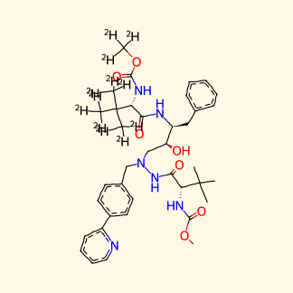 [2H]C([2H])([2H])OC(=O)N[C@H](C(=O)N[C@@H](Cc1ccccc1)[C@@H](O)CN(Cc1ccc(-c2ccccn2)cc1)NC(=O)[C@@H](NC(=O)OC)C(C)(C)C)C(C([2H])([2H])[2H])(C([2H])([2H])[2H])C([2H])([2H])[2H]